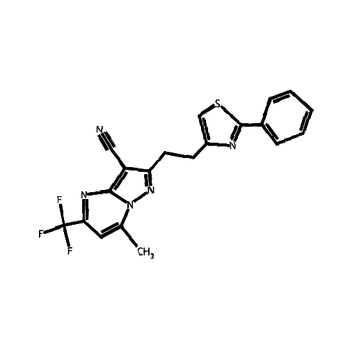 Cc1cc(C(F)(F)F)nc2c(C#N)c(CCc3csc(-c4ccccc4)n3)nn12